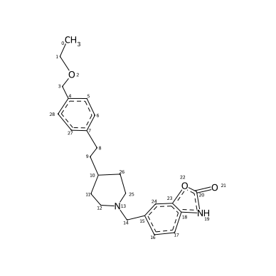 CCOCc1ccc(CCC2CCN(Cc3ccc4[nH]c(=O)oc4c3)CC2)cc1